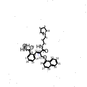 O=C(NCCCN1CCCC1)/C(=C/c1ccccc1C(=O)NO)COc1cccc2ccccc12